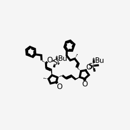 C[C@H](/C=C/[C@@H]1[C@@H](O[Si](C)(C)C(C)(C)C)CC(=O)[C@H]1C/C=C/C[C@@H]1C(=O)C[C@H](C)[C@H]1/C=C/[C@H](CCc1ccccc1)O[Si](C)(C)C(C)(C)C)CCc1ccccc1